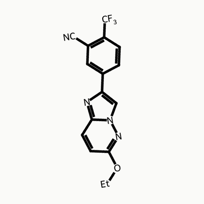 CCOc1ccc2nc(-c3ccc(C(F)(F)F)c(C#N)c3)cn2n1